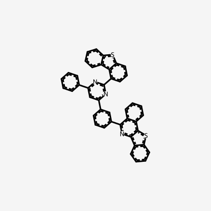 c1ccc(-c2cc(-c3cccc(-c4nc5c6ccccc6sc5c5ccccc45)c3)nc(-c3cccc4sc5ccccc5c34)n2)cc1